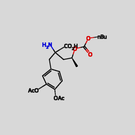 CCCCOC(=O)O[C@@H](C)CC(N)(Cc1ccc(OC(C)=O)c(OC(C)=O)c1)C(=O)O